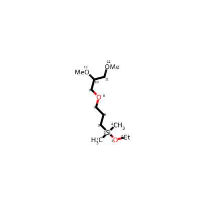 CCO[Si](C)(C)CCCOCC(COC)OC